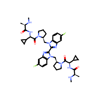 CN[C@H](C)C(=O)N[C@@H](C(=O)N1CCC[C@H]1Cn1c(-c2nc3cc(F)ccc3n2C[C@@H]2CCCN2C(=O)[C@H](NC(=O)[C@@H](C)NC)C2CC2)nc2cc(F)ccc21)C1CC1